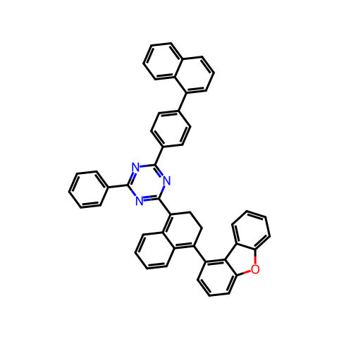 c1ccc(-c2nc(C3=c4ccccc4=C(c4cccc5oc6ccccc6c45)CC3)nc(-c3ccc(-c4cccc5ccccc45)cc3)n2)cc1